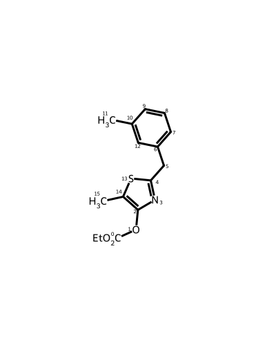 CCOC(=O)Oc1nc(Cc2cccc(C)c2)sc1C